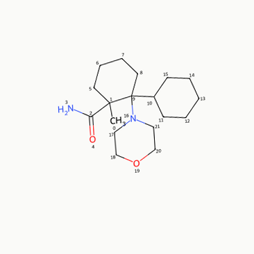 CC1(C(N)=O)CCCCC1(C1CCCCC1)N1CCOCC1